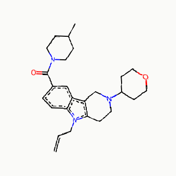 C=CCn1c2c(c3cc(C(=O)N4CCC(C)CC4)ccc31)CN(C1CCOCC1)CC2